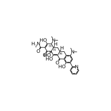 CN(C)c1cc(-c2ccccn2)c(O)c2c1C[C@H]1C[C@H]3[C@H](N(C)C)C(O)=C(C(N)=O)C(=O)[C@@]3(O)C(O)=C1C2=O